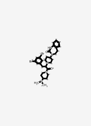 CN(C)C1CCN(C(=O)C(Cc2cc(Br)cc(Br)c2)N2CCC(N3CCc4ccccc4NC3=O)CC2)CC1